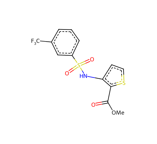 COC(=O)c1sccc1NS(=O)(=O)c1cccc(C(F)(F)F)c1